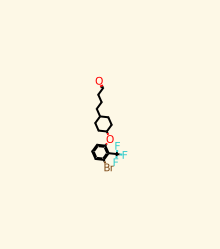 O=CCCCC1CCC(Oc2cccc(Br)c2C(F)(F)F)CC1